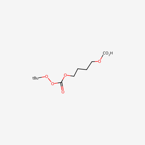 CC(C)(C)OOC(=O)OCCCCOC(=O)O